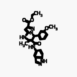 CCOC(=O)c1cc2n(n1)C(c1cccc(OC)c1)C(C(=O)Nc1ccc3[nH]ncc3c1)=C(C)N2